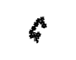 CCCC(=O)N[C@@H](C(=O)N1CCC[C@H]1c1ncc(-c2ccc(-c3ccc(-c4cnc([C@@H]5CCCN5C(=O)Cc5ccccc5)s4)cc3)cc2)s1)c1ccccc1